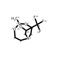 C[Si]12OCCN(CCO1)CC(C(F)(F)F)O2